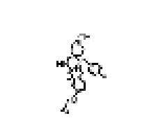 CN1CCC2(CC1)CNC(=O)N(Cc1ccc(OCC3CC3)cc1)C2Cc1ccc(F)cc1